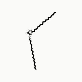 CCCCCCCCCCCCCCCCCCOC[C@@H](OCCCCCCCCCCCCCCCCCC)C(=O)O